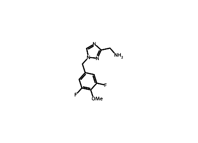 COc1c(F)cc(Cn2cnc(CN)n2)cc1F